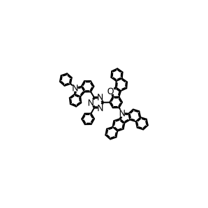 c1ccc(-c2nc(-c3cc(-n4c5cc6ccccc6cc5c5c6ccccc6ccc54)cc4c3oc3c5ccccc5ccc43)nc(-c3cccc4c3c3ccccc3n4-c3ccccc3)n2)cc1